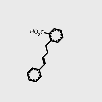 O=C(O)c1ccccc1CCC=Cc1ccccc1